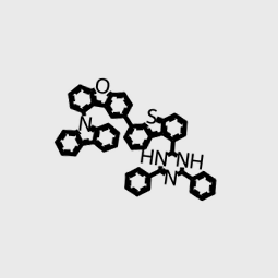 c1ccc(C2=NC(c3ccccc3)NC(c3cccc4sc5c(-c6ccc7oc8cccc(-n9c%10ccccc%10c%10ccccc%109)c8c7c6)cccc5c34)N2)cc1